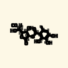 Cc1cc(O)c(O)c(O)c1C(=O)O[C@H]1C(=O)O[C@@H]([C@H](O)C(=O)O)[C@@H]1O